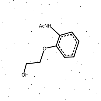 CC(=O)Nc1ccccc1OCCO